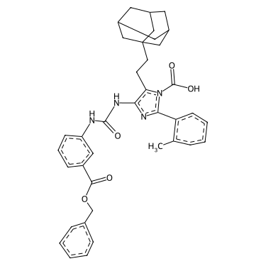 Cc1ccccc1-c1nc(NC(=O)Nc2cccc(C(=O)OCc3ccccc3)c2)c(CCC23CC4CC(CC(C4)C2)C3)n1C(=O)O